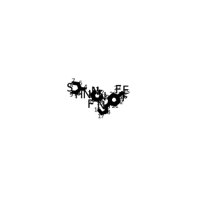 Fc1c(NCC2CCSCC2)ncnc1N1CCCC1c1ccc(C(F)(F)F)cc1